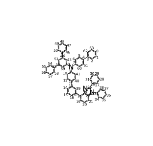 c1ccc(-c2ccc(N(c3ccc(-c4cccc(-c5cccc6c5nc(-c5ccccc5)n6-c5ccccc5)c4)cc3)c3cc(-c4ccccc4)cc(-c4ccccc4)c3)cc2)cc1